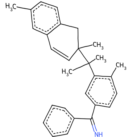 Cc1ccc2c(c1)C=CC(C)(C(C)(C)c1cc(C(=N)c3ccccc3)ccc1C)C2